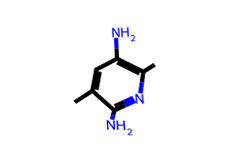 Cc1cc(N)c(C)nc1N